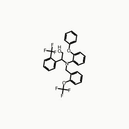 OCC(c1ccccc1C(F)(F)F)N(Cc1ccccc1OC(F)(F)F)c1ccccc1Oc1ccccc1